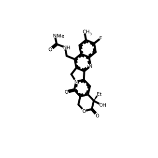 CC[C@@]1(O)C(=O)OCc2c1cc1n(c2=O)Cc2c-1nc1cc(F)c(C)cc1c2CNC(=O)NC